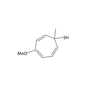 COC1=CC=CC(C)(S)C=C1